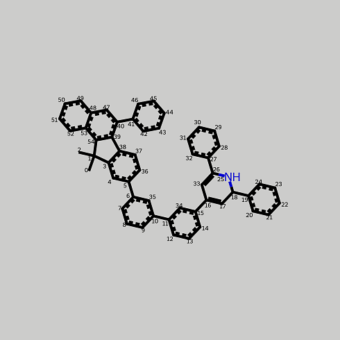 CC1(C)c2cc(-c3cccc(-c4cccc(C5=CC(c6ccccc6)NC(c6ccccc6)=C5)c4)c3)ccc2-c2c(-c3ccccc3)cc3ccccc3c21